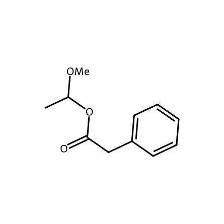 COC(C)OC(=O)Cc1ccccc1